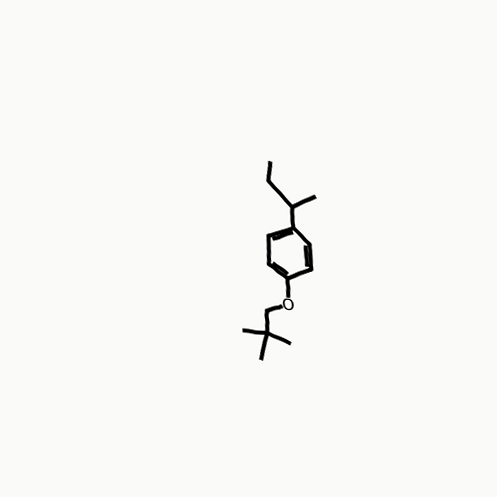 CCC(C)c1ccc(OCC(C)(C)C)cc1